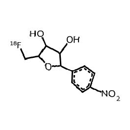 O=[N+]([O-])c1ccc(C2OC(C[18F])C(O)C2O)cc1